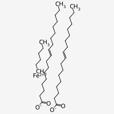 CCCCCC.CCCCCCCCC=CCCCCCCCC(=O)[O-].CCCCCCCCC=CCCCCCCCC(=O)[O-].[Fe+2]